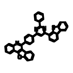 c1ccc(-c2nc(-c3ccc(-c4nc5ccccc5c5oc6ccccc6c45)cc3)cc(-c3cccc4c3sc3ccccc34)n2)cc1